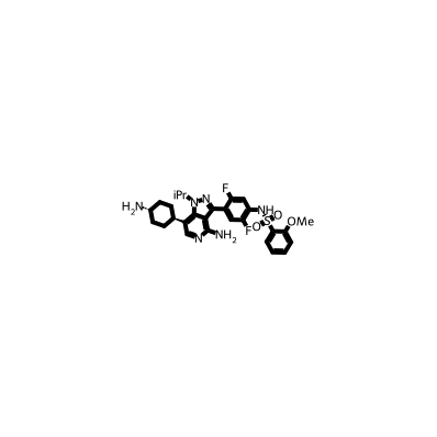 COc1ccccc1S(=O)(=O)Nc1cc(F)c(-c2nn(C(C)C)c3c2c(N)ncc3[C@H]2CC[C@H](N)CC2)cc1F